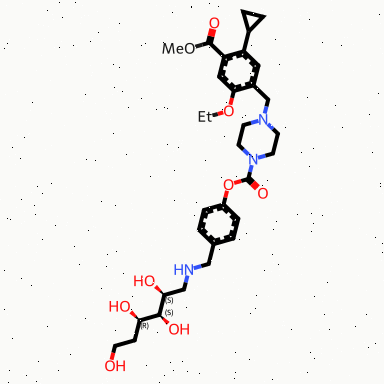 CCOc1cc(C(=O)OC)c(C2CC2)cc1CN1CCN(C(=O)Oc2ccc(CNC[C@H](O)[C@@H](O)[C@H](O)CCO)cc2)CC1